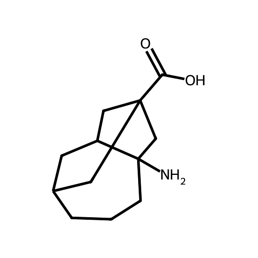 NC12CCCC3CC1CC(C(=O)O)(C3)C2